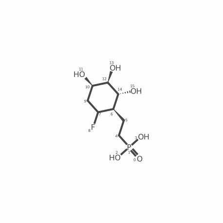 O=P(O)(O)CC[C@H]1C(F)C[C@@H](O)[C@@H](O)[C@@H]1O